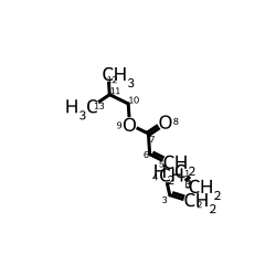 C=C.C=CC.C=CC(=O)OCC(C)C